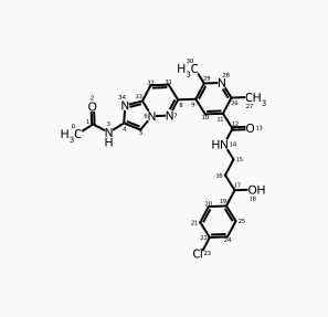 CC(=O)Nc1cn2nc(-c3cc(C(=O)NCCC(O)c4ccc(Cl)cc4)c(C)nc3C)ccc2n1